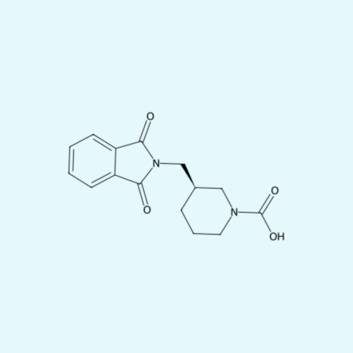 O=C(O)N1CCC[C@@H](CN2C(=O)c3ccccc3C2=O)C1